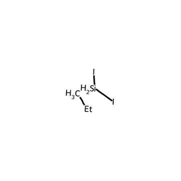 CCC.I[SiH2]I